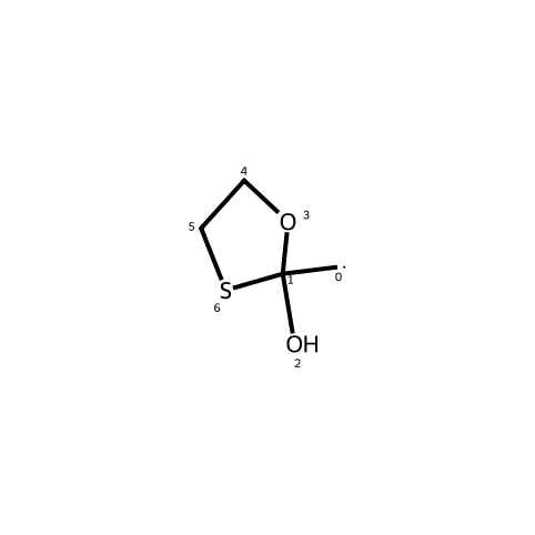 [CH2]C1(O)OCCS1